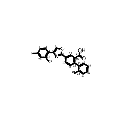 Cc1ccc(-c2csc(-c3ccc(-c4ccccc4C)c(C(=O)O)c3)n2)c(C)c1